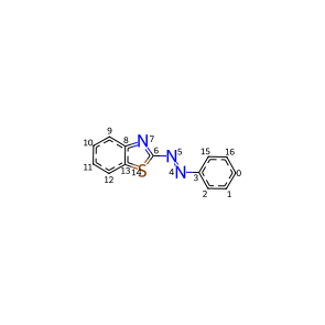 c1ccc(N=Nc2nc3ccccc3s2)cc1